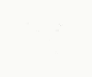 CCOC(CC(=O)CC=O)OCC.[NaH]